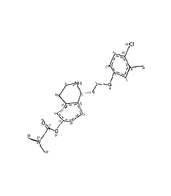 Cc1cc(OCC[C@H]2NCCc3cc(OC(=O)N(C)C)ccc32)ccc1Cl